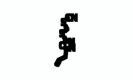 C=CCc1nnc(SCSC#N)o1